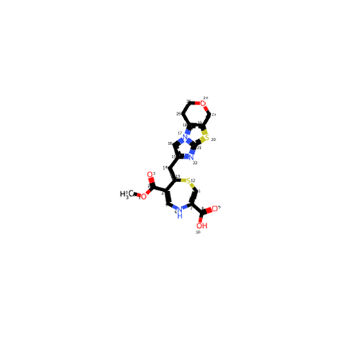 COC(=O)C1=CNC(C(=O)O)=CSC1Cc1cn2c3c(sc2n1)COCC3